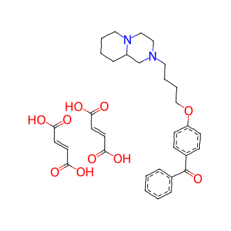 O=C(O)C=CC(=O)O.O=C(O)C=CC(=O)O.O=C(c1ccccc1)c1ccc(OCCCCN2CCN3CCCCC3C2)cc1